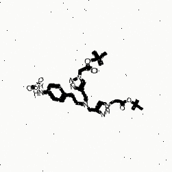 CC(C)(C)OC(=O)Cn1cc(CN(CCc2ccc(N[SH](=O)=O)cc2)Cc2cn(CC(=O)OC(C)(C)C)nn2)nn1